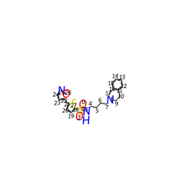 O=S(=O)(NCCCCN1CCc2ccccc2C1)c1ccc(-c2ccno2)s1